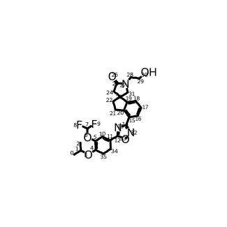 CC(C)OC1=C(OC(F)F)C=C(c2nc(-c3cccc4c3CCC43CC(=O)N(CCO)C3)no2)CC1